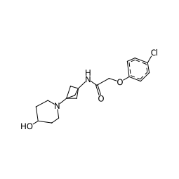 O=C(COc1ccc(Cl)cc1)NC12CC(N3CCC(O)CC3)(C1)C2